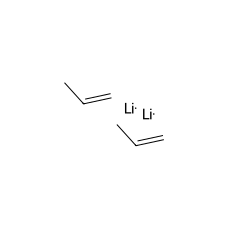 C=CC.C=CC.[Li].[Li]